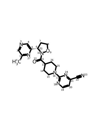 Cc1cncc([C@@H]2CCON2C(=O)C2CCN(c3nccc(C#N)n3)CC2)n1